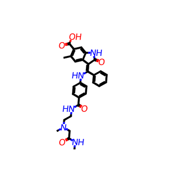 CNC(=O)CN(C)CCNC(=O)c1ccc(NC(=C2C(=O)Nc3cc(C(=O)O)c(C)cc32)c2ccccc2)cc1